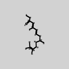 CCC(=O)/C=C(C)/C=C/CC(C)CCC(C)=C(C)C